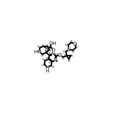 O=C(O)N1C2CCC1(c1nc(OCC3(CN4CCOCC4)CC3)nc3c1CCNC3)CNC2